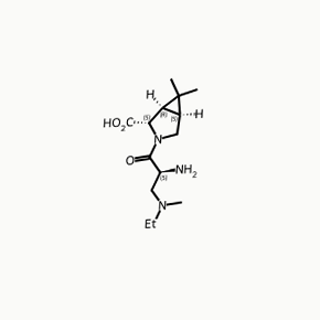 CCN(C)C[C@H](N)C(=O)N1C[C@H]2[C@@H]([C@H]1C(=O)O)C2(C)C